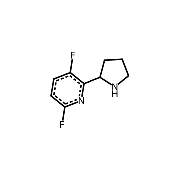 Fc1ccc(F)c(C2CCCN2)n1